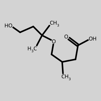 CC(COC(C)(C)CCO)CC(=O)O